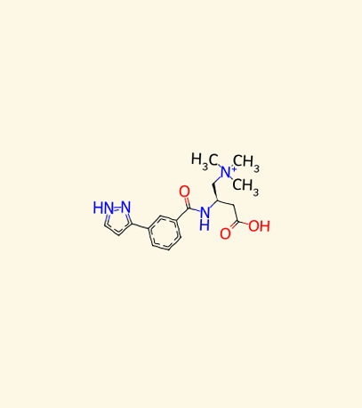 C[N+](C)(C)C[C@@H](CC(=O)O)NC(=O)c1cccc(-c2cc[nH]n2)c1